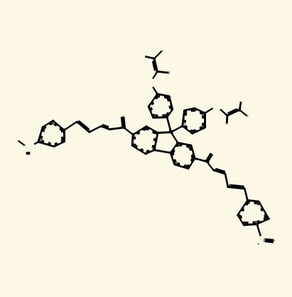 O=C(C=CC=Cc1ccc([N+](=O)[O-])cc1)c1ccc2c(c1)C(c1ccc(OC(F)=C(F)F)cc1)(c1ccc(OC(F)=C(F)F)cc1)c1cc(C(=O)C=CC=Cc3ccc([N+](=O)[O-])cc3)ccc1-2